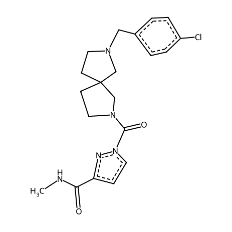 CNC(=O)c1ccn(C(=O)N2CCC3(CCN(Cc4ccc(Cl)cc4)C3)C2)n1